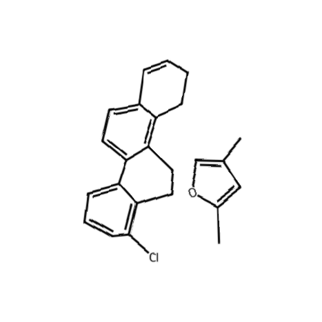 Cc1coc(C)c1.Clc1cccc2c1CCc1c-2ccc2c1CCC=C2